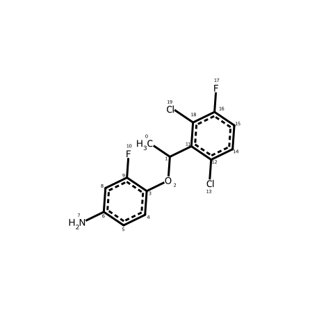 CC(Oc1ccc(N)cc1F)c1c(Cl)ccc(F)c1Cl